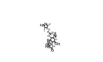 Cc1n[nH]c(C)c1CCN1Cc2c(cc(O)c(N3CC(=O)NS3(=O)=O)c2F)C(F)(F)C1